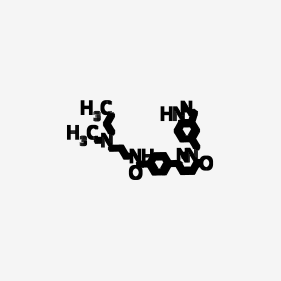 CCCCN(CC)CCCNC(=O)c1ccc(-c2ccc(=O)n(Cc3ccc4[nH]ncc4c3)n2)cc1